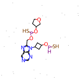 SPOC1CC(n2c(COP(S)OC3CCOC3)nc3cncnc32)C1